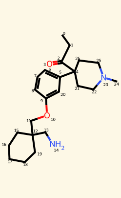 CCC(=O)C1(c2cccc(OCC3(CN)CCCCC3)c2)CCN(C)CC1